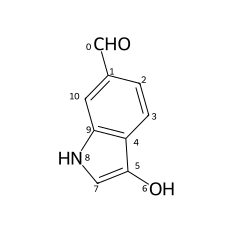 O=Cc1ccc2c(O)c[nH]c2c1